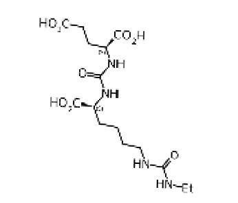 CCNC(=O)NCCCC[C@H](NC(=O)N[C@@H](CCC(=O)O)C(=O)O)C(=O)O